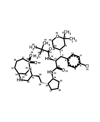 CC1(C)CC([C@H](c2ccc(Cl)cc2)[C@H](NC(=O)C(C)(C)N)C(=O)N[C@H]2CCC[C@@H]2CC[C@H]2CNC3CCCS(=O)(=O)N2C3)CCO1